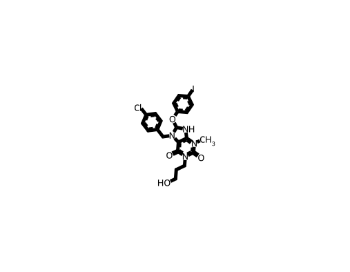 Cn1c2c(c(=O)n(CCCO)c1=O)N(Cc1ccc(Cl)cc1)C(Oc1ccc(I)cc1)N2